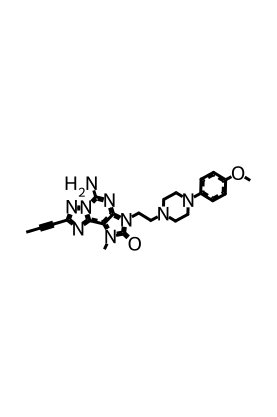 CC#Cc1nc2c3c(nc(N)n2n1)n(CCN1CCN(c2ccc(OC)cc2)CC1)c(=O)n3C